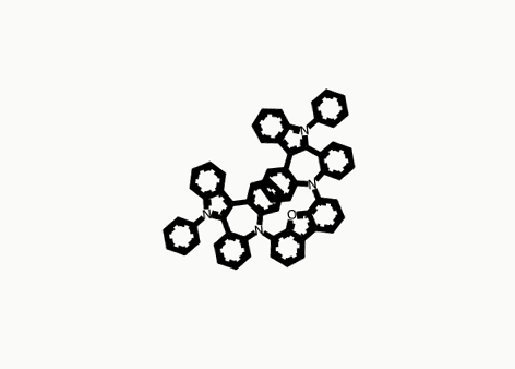 c1ccc(-n2c3c(c4ccccc42)-c2ccccc2N(c2cccc4c2oc2c(N5c6ccccc6-c6c(n(-c7ccccc7)c7ccccc67)-c6ccccc65)cccc24)c2ccccc2-3)cc1